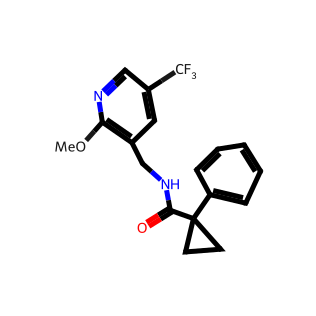 COc1ncc(C(F)(F)F)cc1CNC(=O)C1(c2ccccc2)CC1